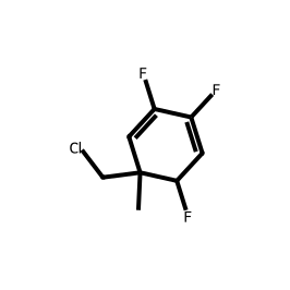 CC1(CCl)C=C(F)C(F)=CC1F